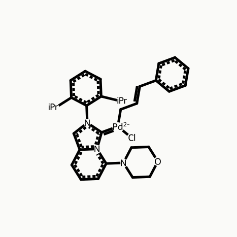 CC(C)c1cccc(C(C)C)c1-n1cc2cccc(N3CCOCC3)n2[c]1=[Pd-2]([Cl])[CH2]C=Cc1ccccc1